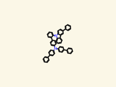 c1ccc(-c2ccc(N(c3ccc(-c4ccccc4)cc3)c3ccc(-c4ccccc4-n4c5ccccc5c5cc(-c6ccccc6)ccc54)cc3)cc2)cc1